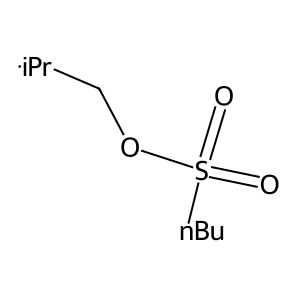 CCCCS(=O)(=O)OC[C](C)C